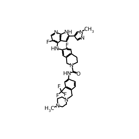 CN1CCN(Cc2ccc(NC(=O)N3CCc4cc(F)c(Nc5c(F)cnc6[nH]c(-c7cnn(C)c7)cc56)cc4C3)cc2C(F)(F)F)CC1